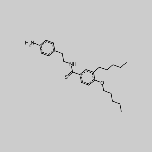 CCCCCOc1ccc(C(=S)NCCc2ccc(N)cc2)cc1CCCCC